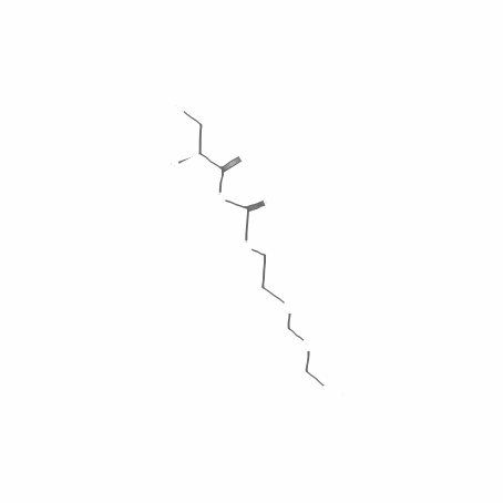 CCOCOCCOC(=O)OC(=O)[C@@H](N)CS